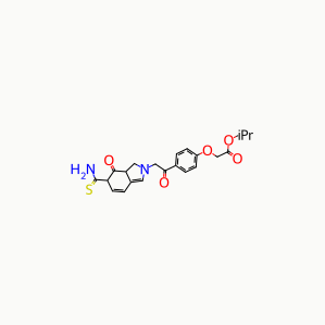 CC(C)OC(=O)COc1ccc(C(=O)CN2C=C3C=CC(C(N)=S)C(=O)C3C2)cc1